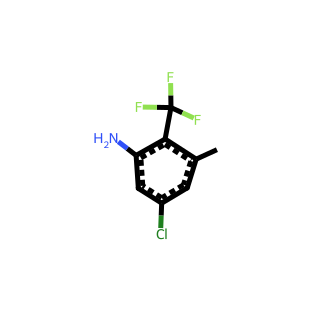 Cc1cc(Cl)cc(N)c1C(F)(F)F